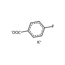 O=C([O-])c1ccc(F)cc1.[K+]